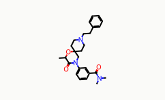 CC1OC2(CCN(CCc3ccccc3)CC2)CN(c2cccc(C(=O)N(C)C)c2)C1=O